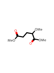 COC(=O)CCC(OC)C(=O)OC